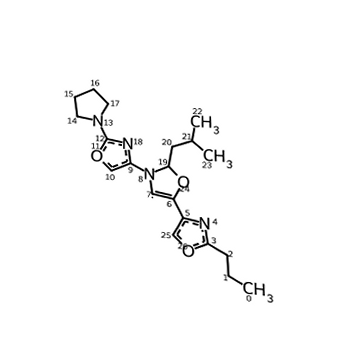 CCCc1nc(C2=[C]N(c3coc(N4CCCC4)n3)C(CC(C)C)O2)co1